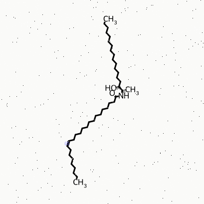 CCCCCCCC/C=C\CCCCCCCCCCCCCC(=O)N[C@@H](C)[C@H](O)CCCCCCCCCCCCCCC